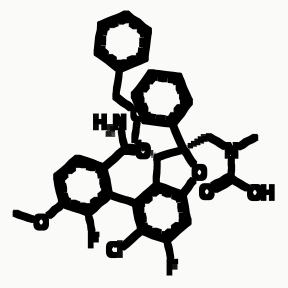 COc1ccc(C(N)=O)c(-c2c(Cl)c(F)cc3c2[C@H](COCc2ccccc2)[C@@](CN(C)C(=O)O)(c2ccccc2)O3)c1F